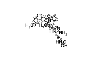 COc1cccc(-c2cc(OC)c(C(=O)N3Cc4ccc(C(=O)N[C@@H](CCCCNC(=O)O)C(N)=O)n4Cc4ccccc43)cc2Cl)c1